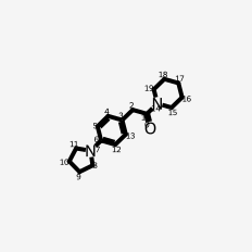 O=C(Cc1ccc(N2CCCC2)cc1)N1CCCCC1